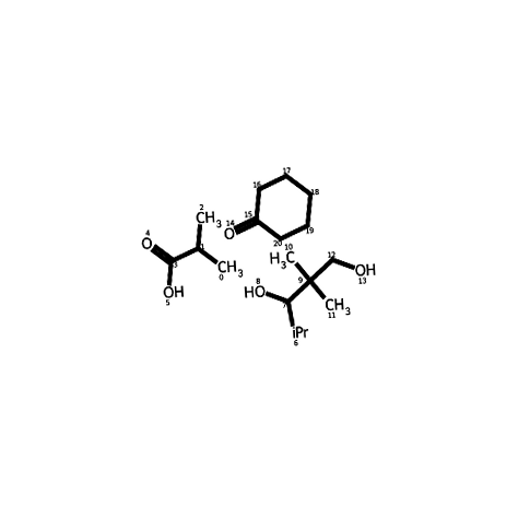 CC(C)C(=O)O.CC(C)C(O)C(C)(C)CO.O=C1CCCCC1